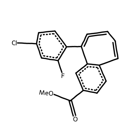 COC(=O)c1ccc2c(c1)C(c1ccc(Cl)cc1F)=C=CC=C2